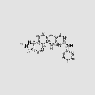 Cc1cnc(Nc2ccccn2)nc1Nc1cccc2c1OCc1cn(C)nc1-2